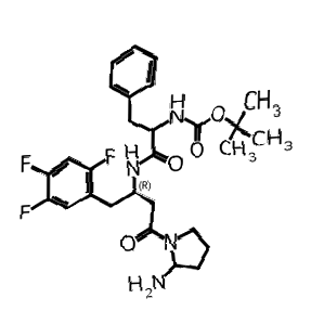 CC(C)(C)OC(=O)NC(Cc1ccccc1)C(=O)N[C@@H](CC(=O)N1CCCC1N)Cc1cc(F)c(F)cc1F